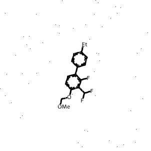 CCc1ccc(-c2ccc(OCOC)c(C(F)F)c2F)cc1